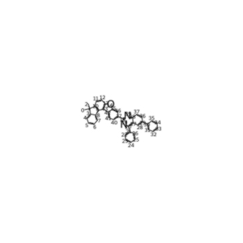 CC1(C)c2ccccc2-c2c1ccc1oc3cc(-c4nc(-c5ccccc5)c5cc(-c6ccccc6)ccc5n4)ccc3c21